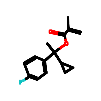 C=C(C)C(=O)OC(C)(c1ccc(F)cc1)C1CC1